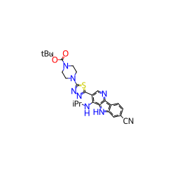 CC(C)Nc1c(-c2nnc(N3CCN(C(=O)OC(C)(C)C)CC3)s2)cnc2c1[nH]c1cc(C#N)ccc12